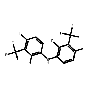 Fc1ccc(Bc2ccc(F)c(C(F)(F)F)c2F)c(F)c1C(F)(F)F